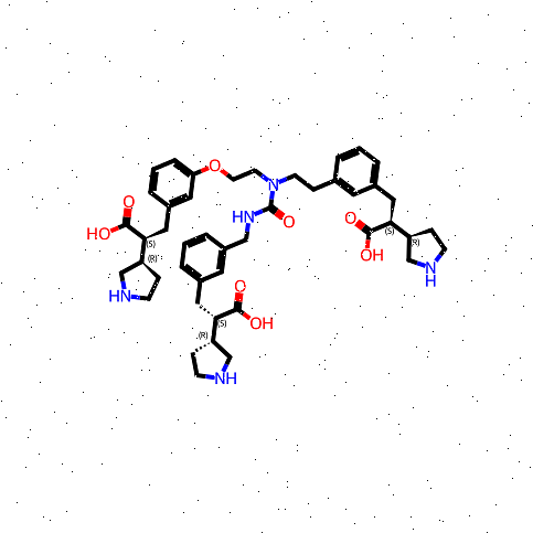 O=C(O)[C@@H](Cc1cccc(CCN(CCOc2cccc(C[C@H](C(=O)O)[C@H]3CCNC3)c2)C(=O)NCc2cccc(C[C@H](C(=O)O)[C@H]3CCNC3)c2)c1)[C@H]1CCNC1